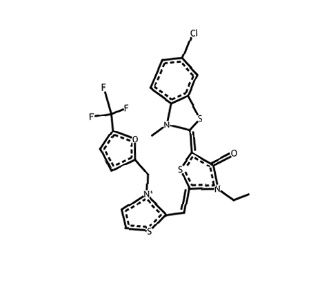 CCn1c(=O)/c(=C2\Sc3cc(Cl)ccc3N2C)s/c1=C\c1scc[n+]1Cc1ccc(C(F)(F)F)o1